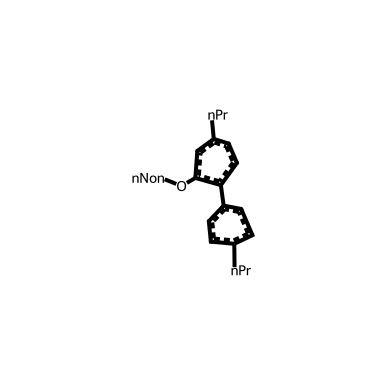 CCCCCCCCCOc1cc(CCC)ccc1-c1ccc(CCC)cc1